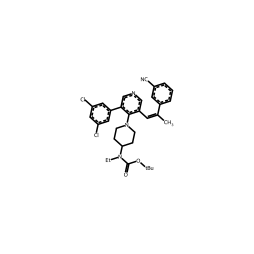 CCN(C(=O)OC(C)(C)C)C1CCN(c2c(C=C(C)c3cccc(C#N)c3)cncc2-c2cc(Cl)cc(Cl)c2)CC1